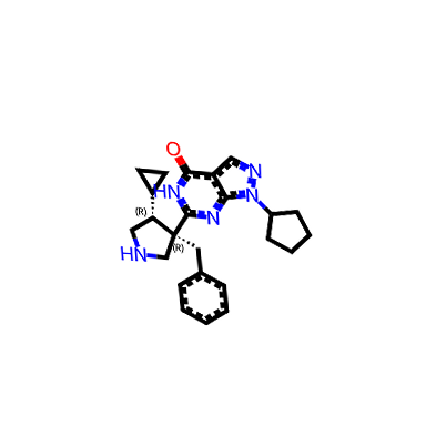 O=c1[nH]c([C@@]2(Cc3ccccc3)CNC[C@@H]2C2CC2)nc2c1cnn2C1CCCC1